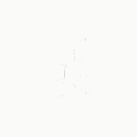 CC(C)(C)OC(=O)N1CCO[C@H]1[N+](C)(C)C